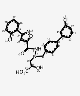 O=C(NN(Cc1ccc(-c2cccc(Cl)c2)cc1)C[C@@H](O)C(=O)O)c1cc(-c2ccccc2Cl)no1